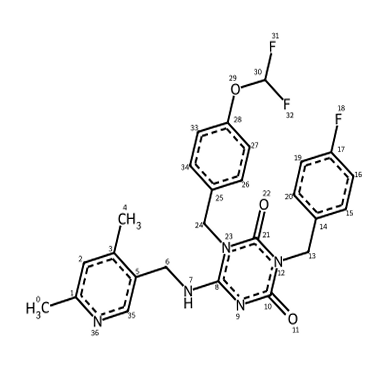 Cc1cc(C)c(CNc2nc(=O)n(Cc3ccc(F)cc3)c(=O)n2Cc2ccc(OC(F)F)cc2)cn1